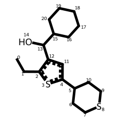 CCc1sc(C2CCSCC2)cc1C(O)C1CCCCC1